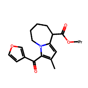 Cc1cc2n(c1C(=O)c1ccoc1)CCCCC2C(=O)OC(C)C